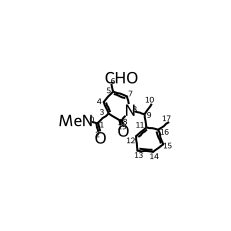 CNC(=O)c1cc(C=O)cn(C(C)c2ccccc2C)c1=O